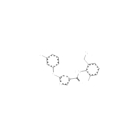 NCc1cccc(Cl)c1NC(=O)c1cnc(Nc2cccc(Br)c2)s1